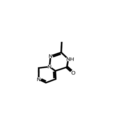 CC1=NN2CN=CC=C2C(=O)N1